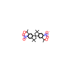 CC(=O)c1cc2c(cc1[N+](=O)[O-])C(C)(C)CC21CC(C)(C)c2cc([N+](=O)[O-])c(C(C)=O)cc21